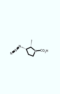 C[C@H]1[C@@H](N=[N+]=[N-])CCN1C(=O)O